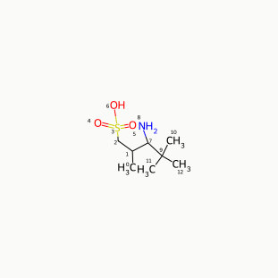 CC(CS(=O)(=O)O)C(N)C(C)(C)C